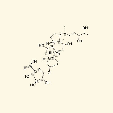 CC(O)C(O)CC[C@@H](C)[C@H]1CC[C@H]2[C@@H]3C(O)C[C@@H]4CC(OC5O[C@H](C(=O)O)[C@@H](O)[C@H](O)[C@H]5O)CC[C@]4(C)[C@H]3CC(O)[C@]12C